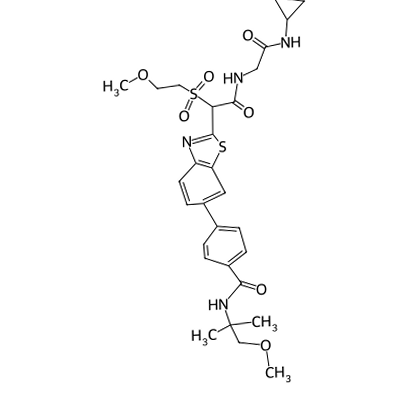 COCCS(=O)(=O)C(C(=O)NCC(=O)NC1CC1)c1nc2ccc(-c3ccc(C(=O)NC(C)(C)COC)cc3)cc2s1